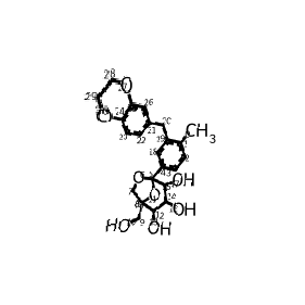 Cc1ccc(C23OC[C@](CO)(O2)C(O)C(O)C3O)cc1Cc1ccc2c(c1)OCCO2